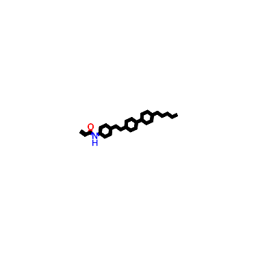 C=CC(=O)NC1CCC(CCC2CCC(C3CCC(CCCCC)CC3)CC2)CC1